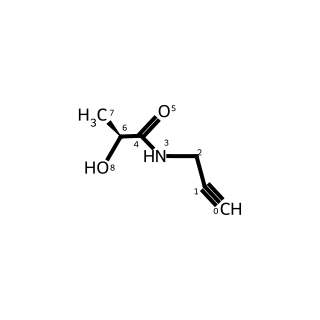 C#CCNC(=O)[C@H](C)O